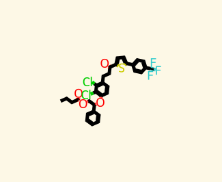 CCCC(=O)OCC(Oc1ccc(CCC(=O)c2ccc(-c3ccc(C(F)(F)F)cc3)s2)c(Cl)c1Cl)c1ccccc1